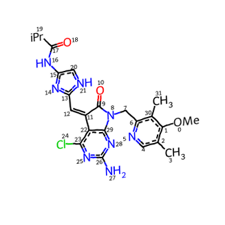 COc1c(C)cnc(CN2C(=O)C(=Cc3nc(NC(=O)C(C)C)c[nH]3)c3c(Cl)nc(N)nc32)c1C